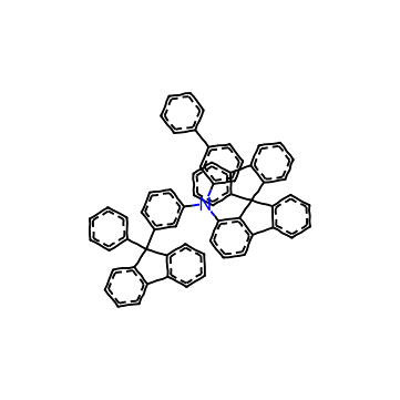 c1ccc(-c2cccc(N(c3cccc(C4(c5ccccc5)c5ccccc5-c5ccccc54)c3)c3cccc4c3C3(c5ccccc5-c5ccccc53)c3ccccc3-4)c2)cc1